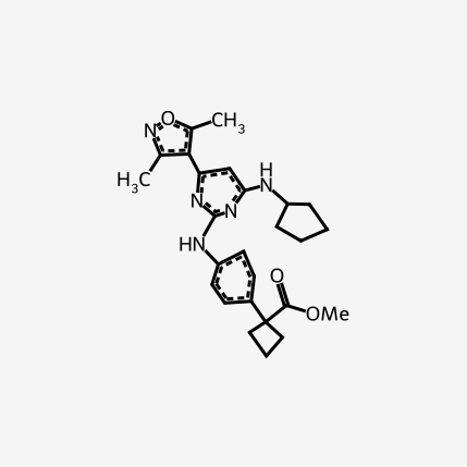 COC(=O)C1(c2ccc(Nc3nc(NC4CCCC4)cc(-c4c(C)noc4C)n3)cc2)CCC1